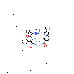 CN[C@@H](C)C(=O)N[C@H](C(=O)N1CCN(C(=O)c2ccc3cc(C)cn3c2)CC1)C1CCCCC1